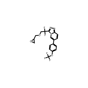 FC(F)(F)Oc1ccc(-c2ccc3nnc(C(F)(F)COCC4CO4)n3c2)cc1